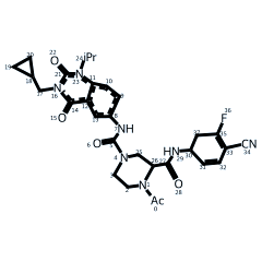 CC(=O)N1CCN(C(=O)Nc2ccc3c(c2)c(=O)n(CC2CC2)c(=O)n3C(C)C)CC1C(=O)NC1C=CC(C#N)=C(F)C1